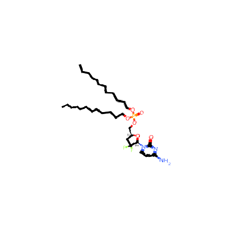 CCCCCCCCCCCCOP(=O)(OCCCCCCCCCCCC)OC[C@@H]1CC(F)(F)[C@H](n2ccc(N)nc2=O)O1